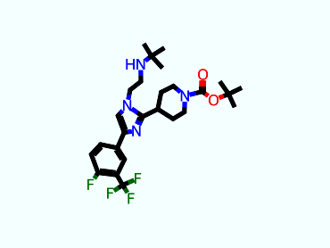 CC(C)(C)NCCn1cc(-c2ccc(F)c(C(F)(F)F)c2)nc1C1CCN(C(=O)OC(C)(C)C)CC1